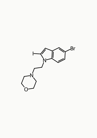 Brc1ccc2c(c1)cc(I)n2CCN1CCOCC1